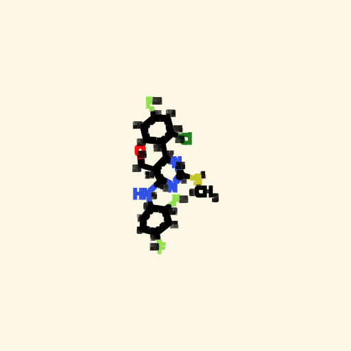 CSc1nc(Nc2ccc(F)cc2F)c(C=O)c(-c2ccc(F)cc2Cl)n1